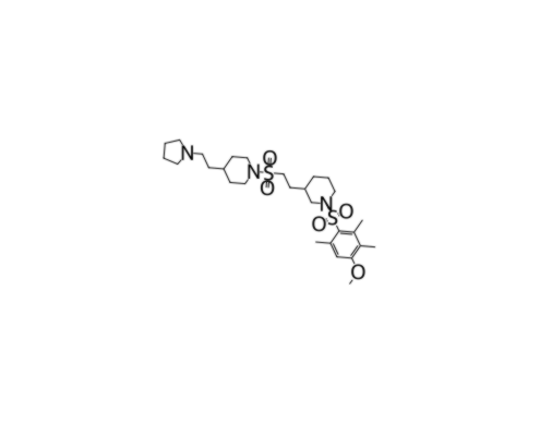 COc1cc(C)c(S(=O)(=O)N2CCCC(CCS(=O)(=O)N3CCC(CCN4CCCC4)CC3)C2)c(C)c1C